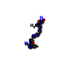 C[C@@H](Oc1cc(-c2cnn(C3CCN(CC4CCN(c5ccc6c(N7CCC(=O)NC7=O)nn(C)c6c5)CC4)CC3)c2)cnc1N)c1cc(F)ccc1-n1nccn1